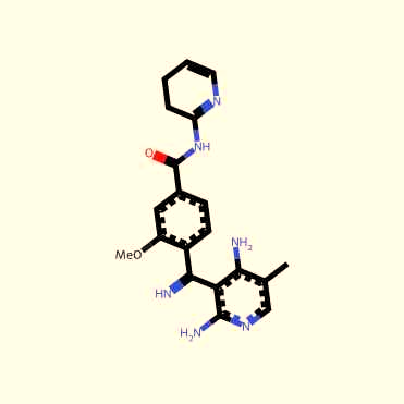 COc1cc(C(=O)NC2=NC=CCC2)ccc1C(=N)c1c(N)ncc(C)c1N